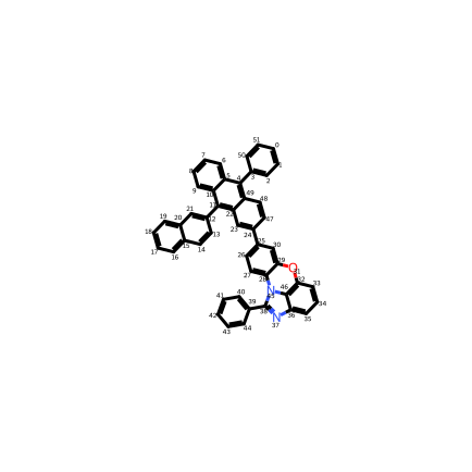 c1ccc(-c2c3ccccc3c(-c3ccc4ccccc4c3)c3cc(-c4ccc5c(c4)Oc4cccc6nc(-c7ccccc7)n-5c46)ccc23)cc1